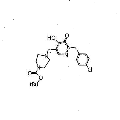 CC(C)(C)OC(=O)N1CCN(Cc2cnn(Cc3ccc(Cl)cc3)c(=O)c2O)CC1